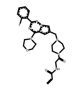 C=CC(=O)NCC(=O)N1CCN(Cc2cc3c(N4CCOCC4)nc(-c4ccccc4F)nn3c2)CC1